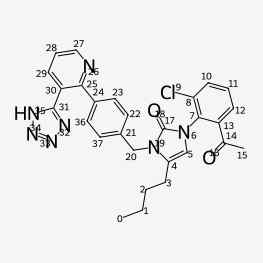 CCCCc1cn(-c2c(Cl)cccc2C(C)=O)c(=O)n1Cc1ccc(-c2ncccc2-c2nnn[nH]2)cc1